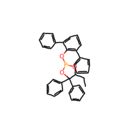 CCC1OP(Oc2c(-c3ccccc3)cccc2-c2ccccc2)OC1(c1ccccc1)c1ccccc1